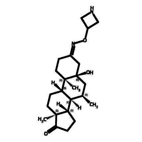 C[C@@H]1C[C@@]2(O)CC(=NOC3CNC3)CC[C@]2(C)[C@H]2CC[C@]3(C)C(=O)CC[C@H]3[C@H]12